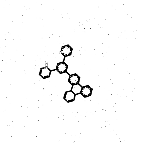 C1=CNC(c2cc(-c3ccc4c(c3)C3C=CC=CC3c3ccccc3-4)cc(-c3ccccn3)c2)C=C1